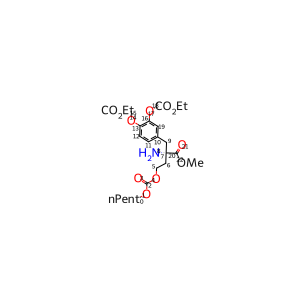 CCCCCOC(=O)OCC[C@@](N)(Cc1ccc(OC(=O)OCC)c(OC(=O)OCC)c1)C(=O)OC